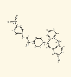 O=C(OCc1ccc([N+](=O)[O-])cc1)N1CCN(C2=Nc3cc(Cl)ccc3Nc3ccccc32)CC1